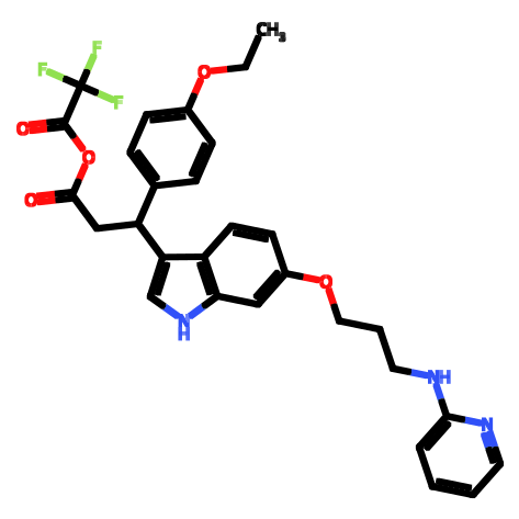 CCOc1ccc(C(CC(=O)OC(=O)C(F)(F)F)c2c[nH]c3cc(OCCCNc4ccccn4)ccc23)cc1